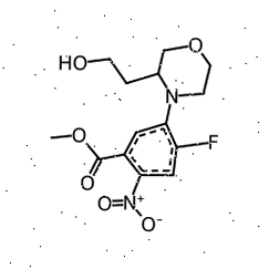 COC(=O)c1cc(N2CCOCC2CCO)c(F)cc1[N+](=O)[O-]